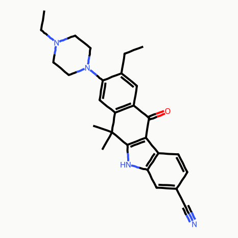 CCc1cc2c(cc1N1CCN(CC)CC1)C(C)(C)c1[nH]c3cc(C#N)ccc3c1C2=O